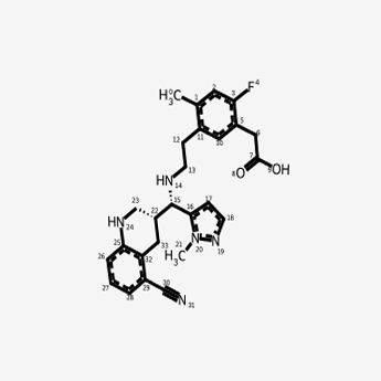 Cc1cc(F)c(CC(=O)O)cc1CCN[C@H](c1ccnn1C)[C@H]1CNc2cccc(C#N)c2C1